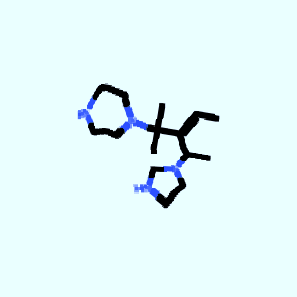 CC=C(C(C)N1CCNC1)C(C)(C)N1CCNCC1